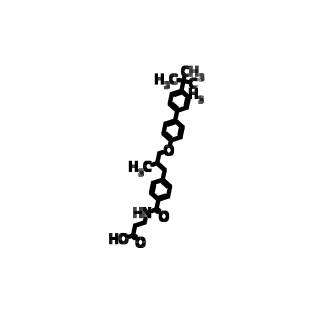 CC(COc1ccc(-c2ccc(C(C)(C)C)cc2)cc1)Cc1ccc(C(=O)NCCC(=O)O)cc1